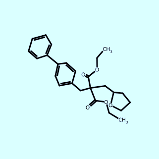 CCOC(=O)C(Cc1ccc(-c2ccccc2)cc1)(CC1CCCO1)C(=O)OCC